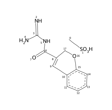 CS(=O)(=O)O.N=C(N)NC(=O)C1=Cc2ccccc2OC1